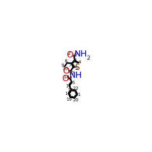 NC(=O)c1csc2c1CCOC2NC(=O)C=Cc1ccccc1